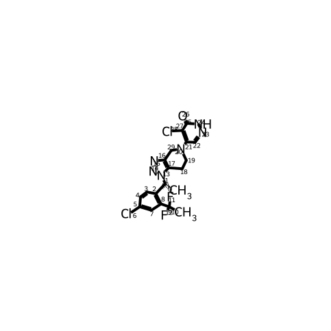 C[C@H](c1ccc(Cl)cc1C(C)(F)F)n1nnc2c1CCN(c1cn[nH]c(=O)c1Cl)C2